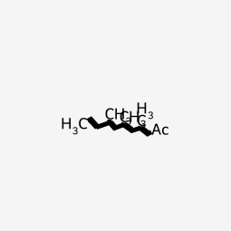 C/C=C/C(C)=C/C(C)=C/C(C)=C/C(C)=O